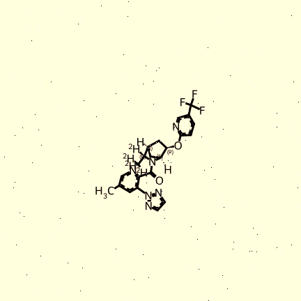 [2H]C([2H])([2H])[C@]1([2H])[C@H]2C[C@@H](Oc3ccc(C(F)(F)F)cn3)[C@H](C2)N1C(=O)c1ncc(C)cc1-n1nccn1